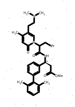 COC(=O)C[C@H](NC(=O)C(CC(C)C)n1cc(CCN(C)C)c(C)cc1=O)c1cccc(-c2c(C)cccc2C)c1